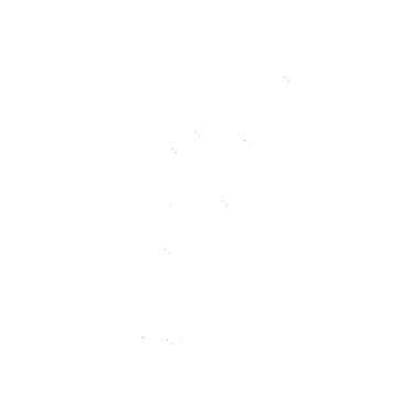 N[C@@H]1CCC12CCN(c1cnc3c(N4CCCc5ncccc54)n[nH]c3n1)CC2